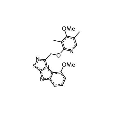 COc1c(C)cnc(OCc2nsc3nc4cccc(OC)c4n23)c1C